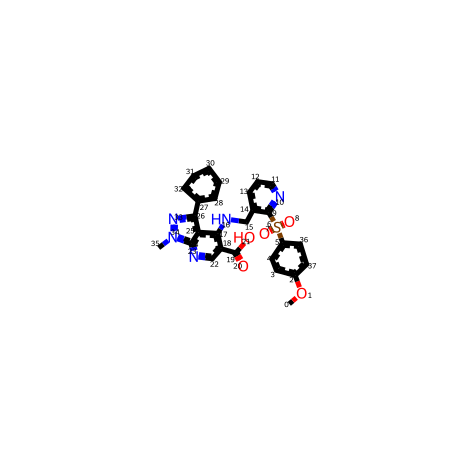 COc1ccc(S(=O)(=O)c2ncccc2CNc2c(C(=O)O)cnc3c2c(-c2ccccc2)nn3C)cc1